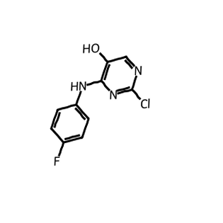 Oc1cnc(Cl)nc1Nc1ccc(F)cc1